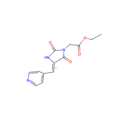 CCOC(=O)CN1C(=O)N/C(=C\c2ccncc2)C1=O